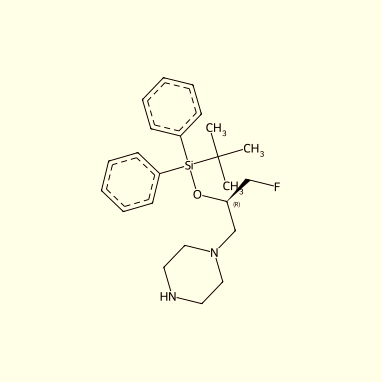 CC(C)(C)[Si](O[C@@H](CF)CN1CCNCC1)(c1ccccc1)c1ccccc1